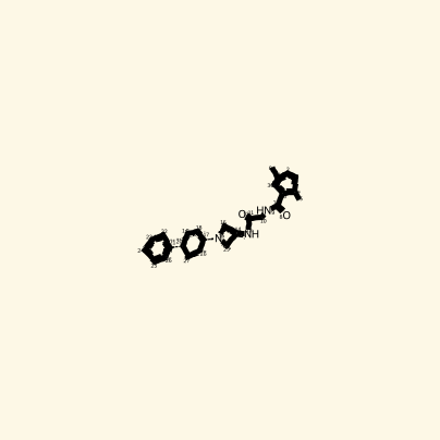 Cc1ccc(C)c(C(=O)NCC(=O)NC2CN([C@H]3CC[C@@H](c4ccccc4)CC3)C2)c1